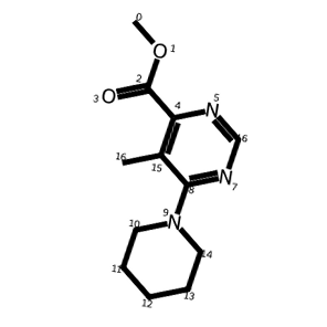 COC(=O)c1n[c]nc(N2CCCCC2)c1C